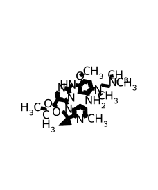 COc1cc(N(C)CCN(C)C)c(N)cc1Nc1ncc(C(=O)OC(C)C)c(N2CC3(CC3)c3nc(C)ccc32)n1